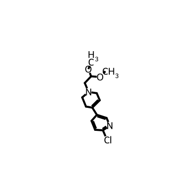 COC(CN1CC=C(c2ccc(Cl)nc2)CC1)OC